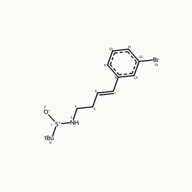 CC(C)(C)[S+]([O-])NCCC=Cc1cccc(Br)c1